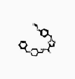 O=COc1ccc(Cn2ncc(C(=O)NCC3CCN(Cc4ccccc4)CC3)n2)cc1